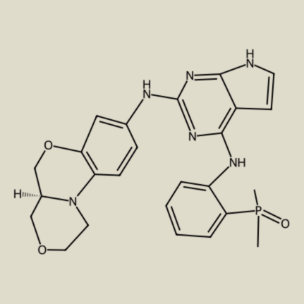 CP(C)(=O)c1ccccc1Nc1nc(Nc2ccc3c(c2)OC[C@@H]2COCCN32)nc2[nH]ccc12